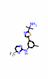 Cc1cc(Nc2nccc(C(F)(F)F)n2)cc(-c2cnc(C(C)(C)N)s2)c1